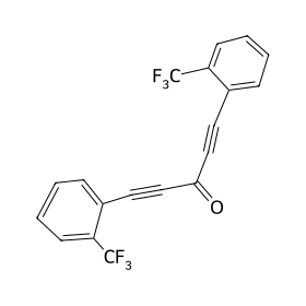 O=C(C#Cc1ccccc1C(F)(F)F)C#Cc1ccccc1C(F)(F)F